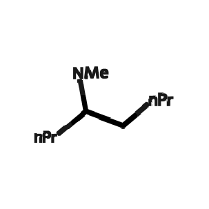 [CH2]CCCC(CCC)NC